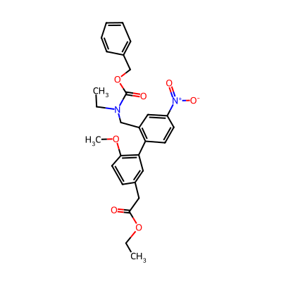 CCOC(=O)Cc1ccc(OC)c(-c2ccc([N+](=O)[O-])cc2CN(CC)C(=O)OCc2ccccc2)c1